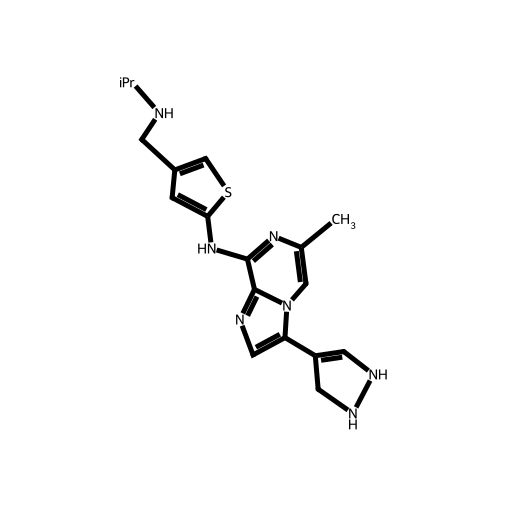 Cc1cn2c(C3=CNNC3)cnc2c(Nc2cc(CNC(C)C)cs2)n1